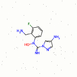 N=C(N(O)c1cccc(F)c1CN)n1cc(N)cn1